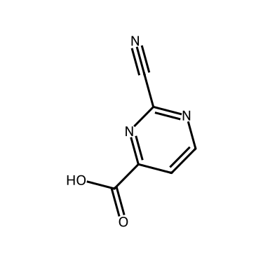 N#Cc1nccc(C(=O)O)n1